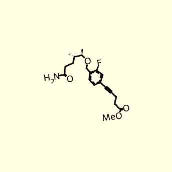 COC(=O)CCC#Cc1ccc(CO[C@H](C)[C@@H](C)CCC(N)=O)c(F)c1